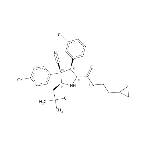 CC(C)(C)C[C@@H]1N[C@@H](C(=O)NCCC2CC2)[C@H](c2cccc(Cl)c2)[C@@]1(C#N)c1ccc(Cl)cc1